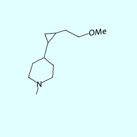 COCCC1CC1C1CCN(C)CC1